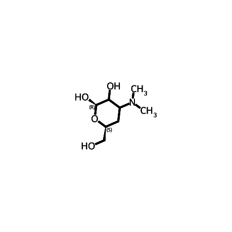 CN(C)C1C[C@@H](CO)O[C@@H](O)C1O